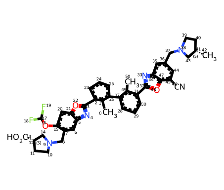 Cc1c(-c2nc3cc(CN4CC[C@H](C(=O)O)C4)c(OC(F)F)cc3o2)cccc1-c1cccc(-c2nc3cc(CN4CC[C@H](C)C4)cc(C#N)c3o2)c1C